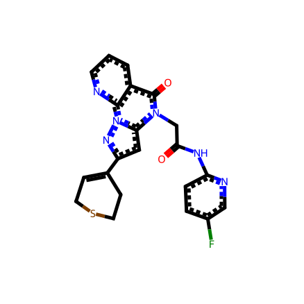 O=C(Cn1c(=O)c2cccnc2n2nc(C3=CCSCC3)cc12)Nc1ccc(F)cn1